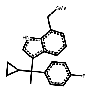 CSCc1cccc2c(C(C)(c3ccc(F)cc3)C3CC3)c[nH]c12